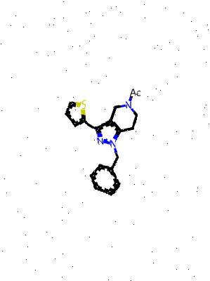 CC(=O)N1CCc2c(c(-c3cccs3)nn2Cc2ccccc2)C1